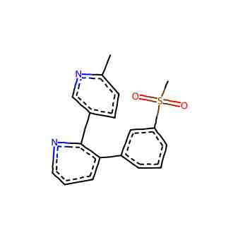 Cc1ccc(-c2ncccc2-c2cccc(S(C)(=O)=O)c2)cn1